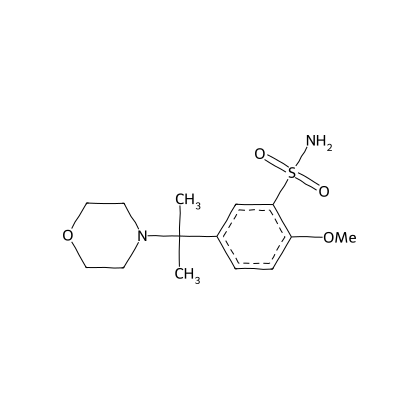 COc1ccc(C(C)(C)N2CCOCC2)cc1S(N)(=O)=O